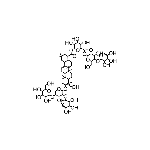 CC1(C)CC(C(=O)OC2OC(COC3OC(CO)C(OC4OC=C(O)C(O)C4O)C(O)C3O)C(O)C(O)C2O)C2CC[C@]3(C)C(=CCC4C5(C)CCC(OC6OCC(OC7OC(CO)C(O)C(O)C7O)C(O)C6OC6OC=C(O)C(O)C6O)[C@@](C)(CO)C5CCC43C)C2C1